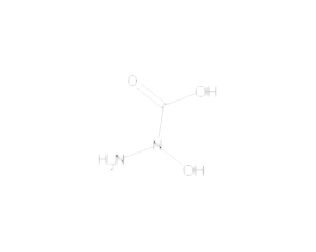 NN(O)C(=O)O